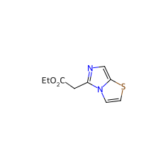 CCOC(=O)Cc1ncc2sccn12